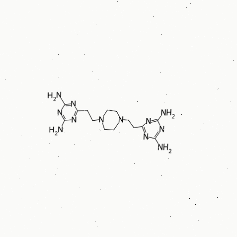 Nc1nc(N)nc(CCN2CCN(CCc3nc(N)nc(N)n3)CC2)n1